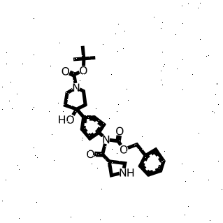 CC(C)(C)OC(=O)N1CCC(O)(c2ccc(N(C(=O)OCc3ccccc3)C(=O)C3CNC3)cc2)CC1